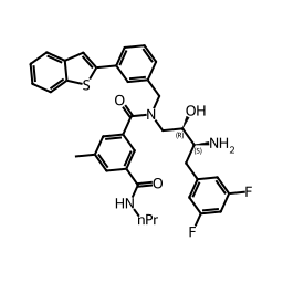 CCCNC(=O)c1cc(C)cc(C(=O)N(Cc2cccc(-c3cc4ccccc4s3)c2)C[C@@H](O)[C@@H](N)Cc2cc(F)cc(F)c2)c1